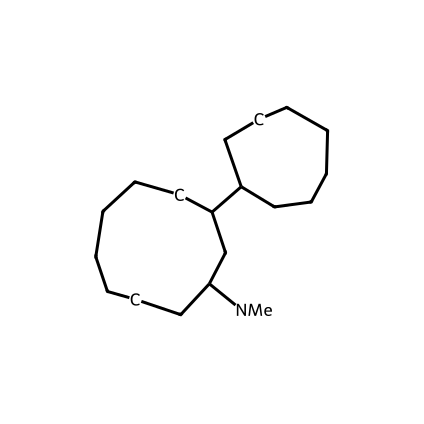 CNC1CCCCCCCC(C2CCCCCCC2)C1